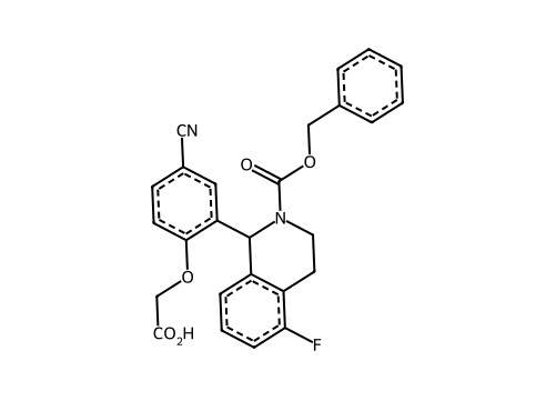 N#Cc1ccc(OCC(=O)O)c(C2c3cccc(F)c3CCN2C(=O)OCc2ccccc2)c1